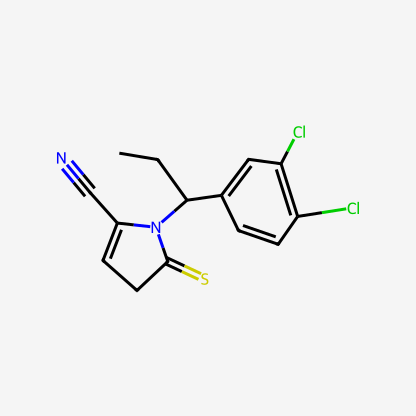 CCC(c1ccc(Cl)c(Cl)c1)N1C(=S)CC=C1C#N